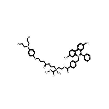 C[N+](CCNC(=O)CCCOc1ccc(N(CCCl)CCCl)cc1)(CCNC(=O)c1ccc(C[n+]2c(-c3ccccc3)c3cc(N)ccc3c3ccc(N)cc32)cc1)C(=O)OC(F)(F)F